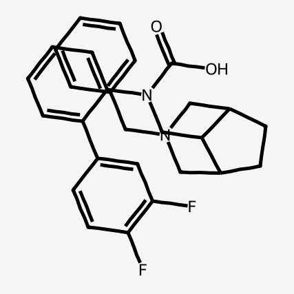 O=C(O)N(CC1C2CCC1CN(Cc1ccccc1)C2)c1ccccc1-c1ccc(F)c(F)c1